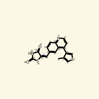 Cc1cscc1-c1ccnc2ccc(/C=C3/SC(=O)NC3=O)cc12